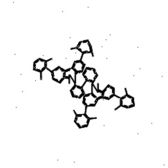 Cc1cccc(C)c1-c1ccc2c(c1)c1cc(-c3c(C)cccc3C)ccc1n2-c1ccccc1-c1ccccc1-n1c2ccc(-c3c(C)cccc3C)cc2c2cc(-c3c(C)cccc3C)ccc21